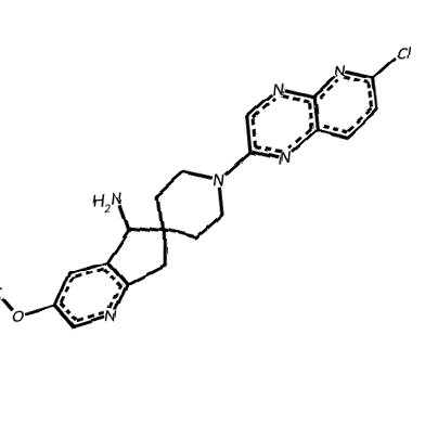 COc1cnc2c(c1)C(N)C1(CCN(c3cnc4nc(Cl)ccc4n3)CC1)C2